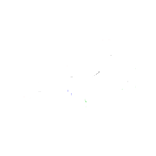 COC(=O)C(=O)N1C(=O)[C@@H](C(CCC(Cl)(Cl)Cl)OC(=O)O)[C@H]1Cl